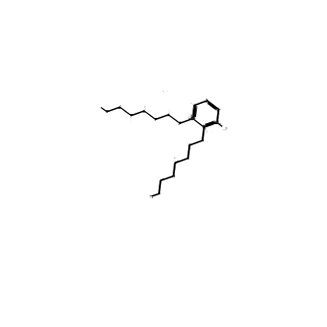 CCCCCCCCc1cccc(O)c1CCCCCCCC.[P]